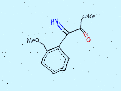 COC(=O)C(=N)c1ccccc1OC